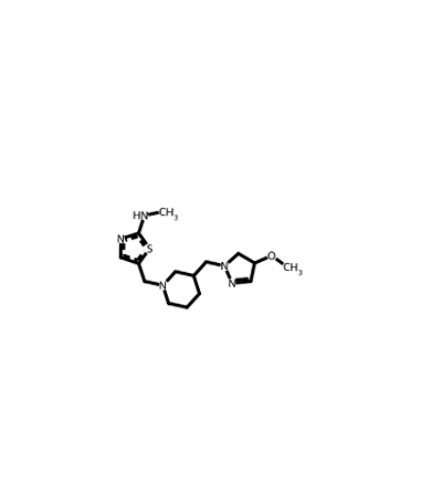 CNc1ncc(CN2CCCC(CN3CC(OC)C=N3)C2)s1